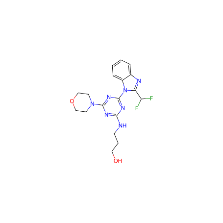 OCCCNc1nc(N2CCOCC2)nc(-n2c(C(F)F)nc3ccccc32)n1